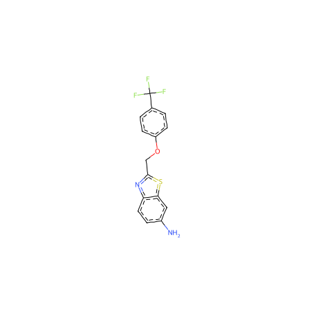 Nc1ccc2nc(COc3ccc(C(F)(F)F)cc3)sc2c1